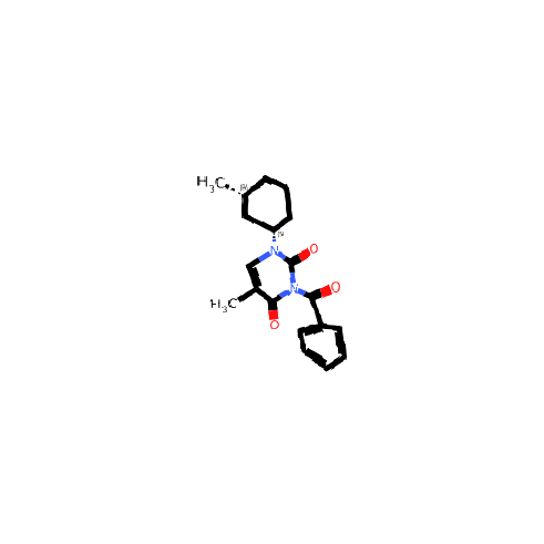 Cc1cn([C@H]2CCC[C@@H](C)C2)c(=O)n(C(=O)c2ccccc2)c1=O